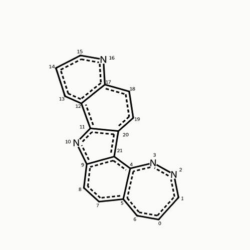 c1cnnc2c(c1)ccc1nc3c4cccnc4ccc3c12